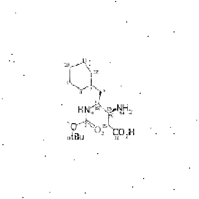 CC(C)(C)OC(=O)N[C@@H](CC1CCCCC1)[C@@H](N)CC(=O)O